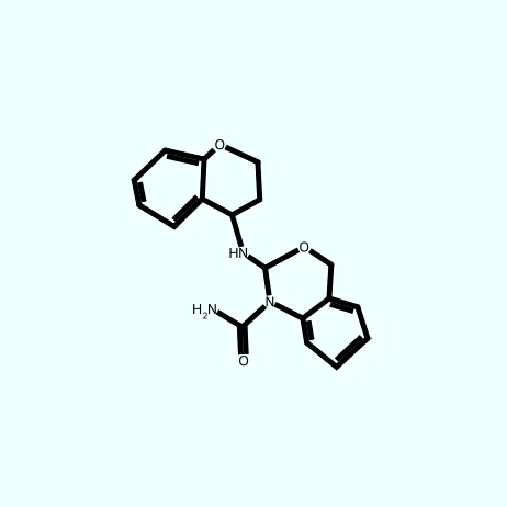 NC(=O)N1c2cc[c]cc2COC1NC1CCOc2ccccc21